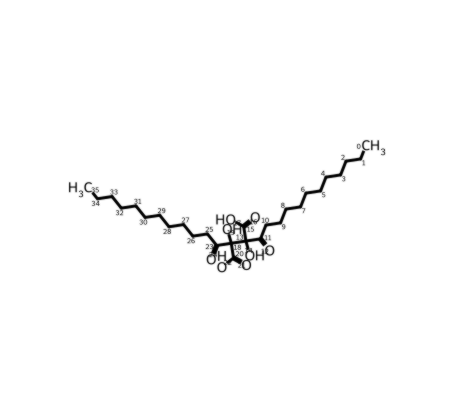 CCCCCCCCCCCC(=O)C(O)(C(=O)O)C(O)(C(=O)O)C(=O)CCCCCCCCCCC